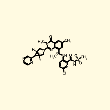 Cc1cc([C@@H](C)Nc2ccc(Cl)nc2C(=O)NS(C)(=O)=O)c2nc(N3C[C@@H]4C(c5cnccn5)[C@@H]4C3)n(C)c(=O)c2c1